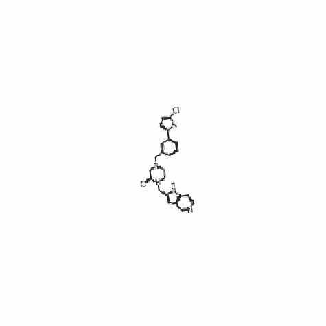 O=C1CN(Cc2cccc(-c3ccc(Cl)s3)c2)CCN1Cc1cc2cnccc2[nH]1